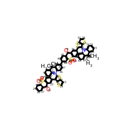 CC1(C)c2ccccc2N(c2sc3ccsc3c2-c2ccc3c(c2)C(=O)c2ccccc2S3(=O)=O)c2ccc(-c3ccc4c(c3)S(=O)(=O)c3ccc(-c5sc6ccsc6c5N5c6ccccc6C(C)(C)c6ccccc65)cc3C4=O)cc21